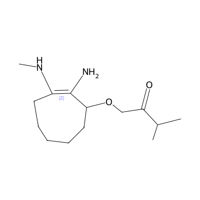 CN/C1=C(\N)C(OCC(=O)C(C)C)CCCCC1